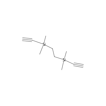 C#C[Si](C)(C)CC[Si](C)(C)C#C